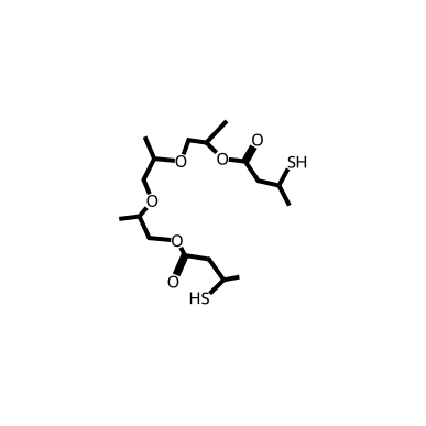 CC(S)CC(=O)OCC(C)OCC(C)OCC(C)OC(=O)CC(C)S